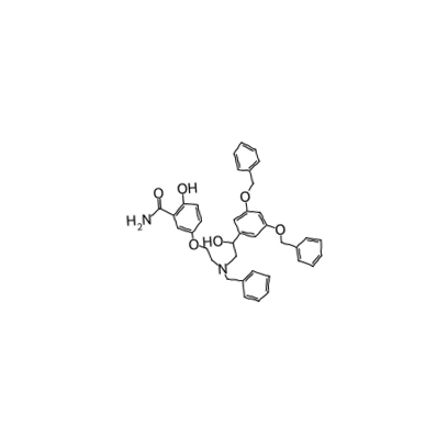 NC(=O)c1cc(OCCN(Cc2ccccc2)CC(O)c2cc(OCc3ccccc3)cc(OCc3ccccc3)c2)ccc1O